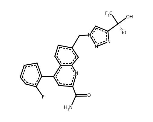 CC[C@](O)(c1cn(Cc2ccc3c(-c4ccccc4F)cc(C(N)=O)nc3c2)nn1)C(F)(F)F